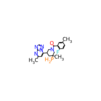 Cc1ccc(F)c(C(=O)N2CC(c3cc(C)nc4ncnn34)CC(C)(P)C2)c1